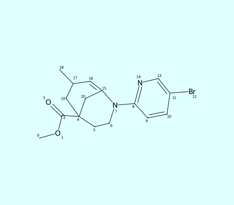 COC(=O)C12CCN(c3ccc(Br)cn3)C(=CC(C)C1)C2